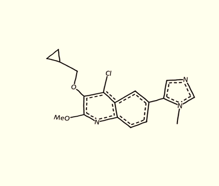 COc1nc2ccc(-c3cncn3C)cc2c(Cl)c1OCC1CC1